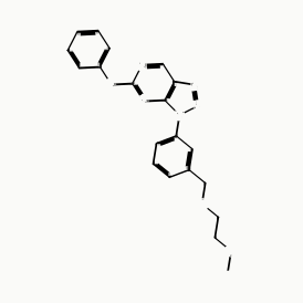 COCCOCc1cccc(-n2nnc3cnc(Nc4ccccc4)nc32)c1